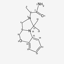 CC(C(N)=O)N1CC2COc3ccccc3N2C1(C)C